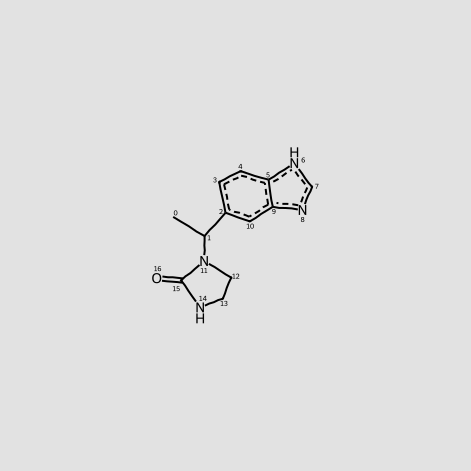 CC(c1ccc2[nH]cnc2c1)N1CCNC1=O